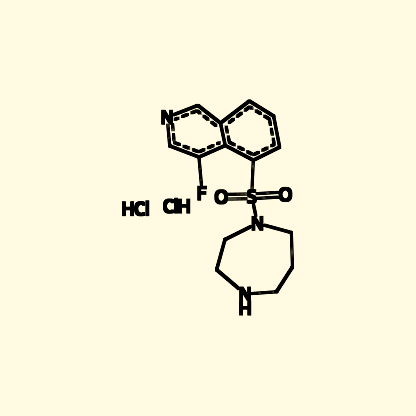 Cl.Cl.O=S(=O)(c1cccc2cncc(F)c12)N1CCCNCC1